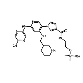 [C-]#[N+]c1cnc(Nc2cc(NCC3CCCNC3)c(-n3ccc(C(=O)NCCO[Si](C)(C)C(C)(C)C)c3)cn2)cn1